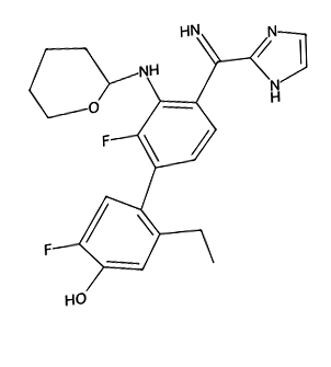 CCc1cc(O)c(F)cc1-c1ccc(C(=N)c2ncc[nH]2)c(NC2CCCCO2)c1F